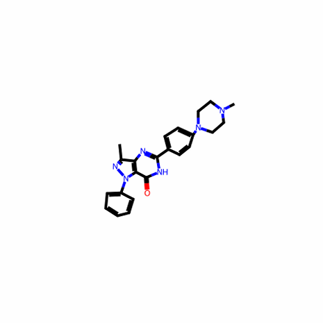 Cc1nn(-c2ccccc2)c2c(=O)[nH]c(-c3ccc(N4CCN(C)CC4)cc3)nc12